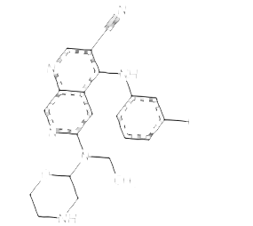 CCN(c1cc2c(Nc3cccc(I)c3)c(C#N)cnc2cn1)C1CNCCO1